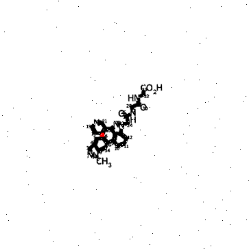 Cn1ncc2cc(F)c(-c3cccc4c3c(-c3cccnc3)nn4CC(=O)NCC(=O)NCC(=O)O)cc21